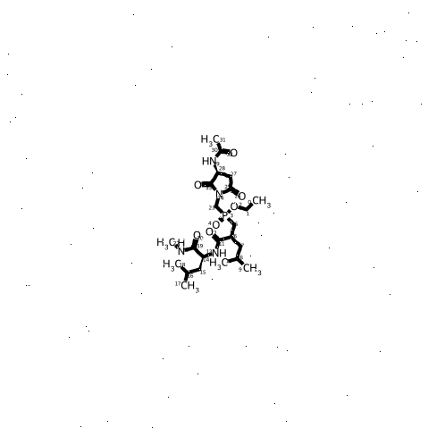 CCOP(=O)(CC(CC(C)C)C(=O)N[C@@H](CC(C)C)C(=O)NC)CN1C(=O)C[C@H](NC(C)=O)C1=O